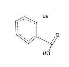 O=C(O)c1ccccc1.[La]